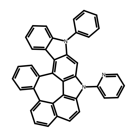 c1ccc(-n2c3ccccc3c3c4c5c6c7c(cccc7ccc6n(-c6ccccn6)c5cc32)-c2ccccc2-4)cc1